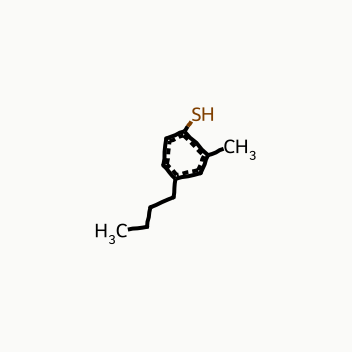 CCCCc1ccc(S)c(C)c1